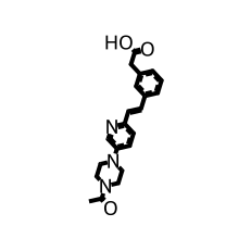 CC(=O)N1CCN(c2ccc(C=Cc3cccc(CC(=O)O)c3)nc2)CC1